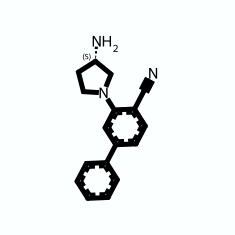 N#Cc1ccc(-c2ccccc2)cc1N1CC[C@H](N)C1